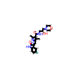 Cc1[nH]c(C=C2C(=O)Nc3ccc(F)cc32)c(C)c1C(=O)NC[C@@H](O)CN1CCOCC1